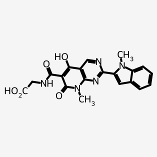 Cn1c(-c2ncc3c(O)c(C(=O)NCC(=O)O)c(=O)n(C)c3n2)cc2ccccc21